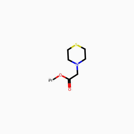 CC(C)OC(=O)CN1CCSCC1